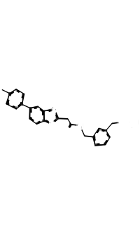 Cc1ccc(-c2ccc3sc(CC(=O)NCc4cccc(CC(=O)O)c4)nc3c2)cc1